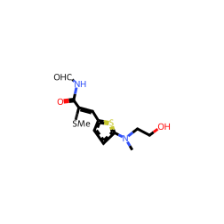 CS/C(=C\c1ccc(N(C)CCO)s1)C(=O)NC=O